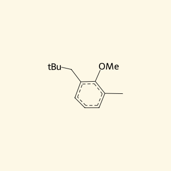 COc1c(C)cccc1CC(C)(C)C